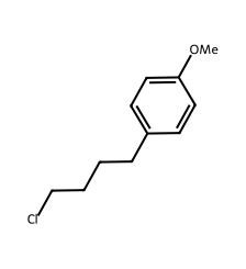 COc1ccc(CCCCCl)cc1